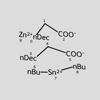 CCCCCCCCCCCC(=O)[O-].CCCCCCCCCCCC(=O)[O-].CCC[CH2][Sn+2][CH2]CCC.[Zn+2]